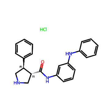 Cl.O=C(Nc1cccc(Nc2ccccc2)c1)[C@@H]1CNC[C@H]1c1ccccc1